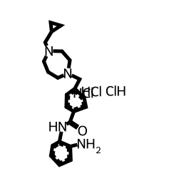 Cl.Cl.Cl.Nc1ccccc1NC(=O)c1ccc(CN2CCCN(CC3CC3)CC2)cc1